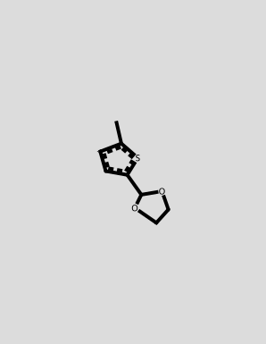 Cc1[c]cc(C2OCCO2)s1